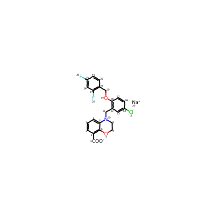 O=C([O-])c1cccc2c1OCCN2Cc1cc(Cl)ccc1OCc1ccc(F)cc1F.[Na+]